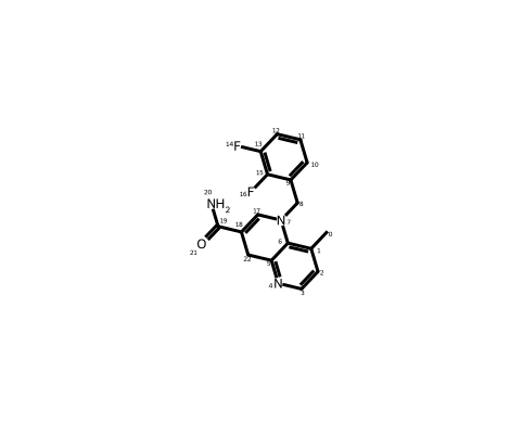 Cc1ccnc2c1N(Cc1cccc(F)c1F)C=C(C(N)=O)C2